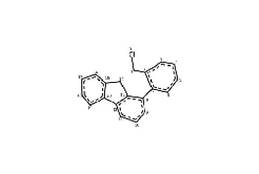 ClCc1ccccc1-c1cccc2c1Cc1ccccc1-2